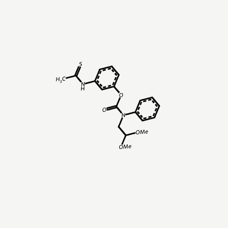 COC(CN(C(=O)Oc1cccc(NC(C)=S)c1)c1ccccc1)OC